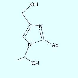 CC(=O)c1nc(CO)cn1C(C)O